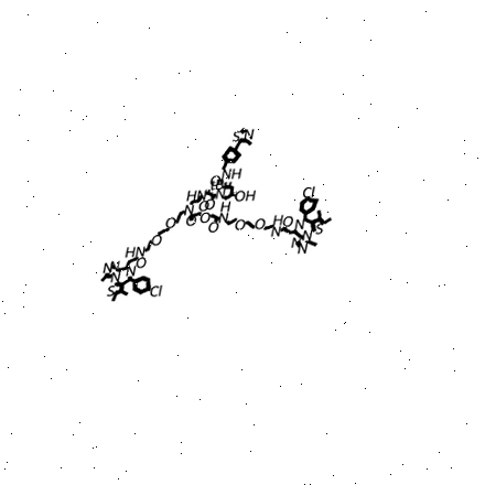 Cc1ncsc1-c1ccc(CNC(=O)[C@@H]2C[C@@H](O)CN2C(=O)[C@@H](NC(=O)CN(CCOCCOCCNC(=O)CC2N=C(c3ccc(Cl)cc3)c3c(sc(C)c3C)-n3c(C)nnc32)C(=O)COCC(=O)NCCOCCOCCNC(=O)CC2N=C(c3ccc(Cl)cc3)c3c(sc(C)c3C)-n3c(C)nnc32)C(C)(C)C)cc1